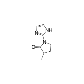 CC1CCN(c2ncc[nH]2)C1=O